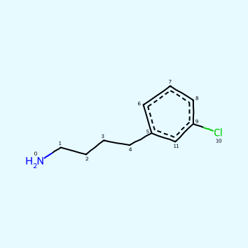 NCCCCc1cccc(Cl)c1